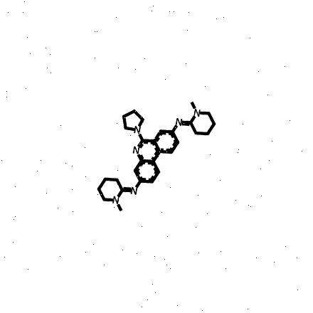 CN1CCCCC1=Nc1ccc2c(c1)nc(N1CCCC1)c1cc(N=C3CCCCN3C)ccc12